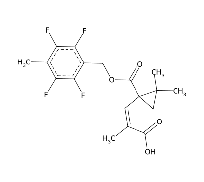 CC(=CC1(C(=O)OCc2c(F)c(F)c(C)c(F)c2F)CC1(C)C)C(=O)O